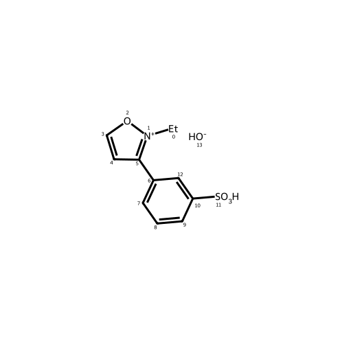 CC[n+]1occc1-c1cccc(S(=O)(=O)O)c1.[OH-]